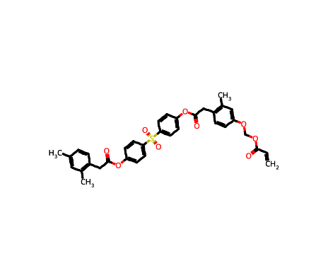 C=CC(=O)OCOc1ccc(CC(=O)Oc2ccc(S(=O)(=O)c3ccc(OC(=O)Cc4ccc(C)cc4C)cc3)cc2)c(C)c1